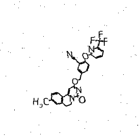 Cc1ccc2c(c1)CCn1c-2cc(OCc2ccc(Oc3cccc(C(F)(F)F)n3)c(C#N)c2)nc1=O